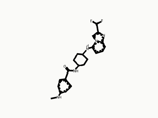 CNc1ccc(C(=O)NC2CCC(Nc3cccc4nc(C(F)F)cn34)CC2)cc1